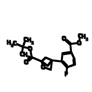 COC(=O)c1ccc(F)c(C23COC(C(=O)OC(C)(C)C)(C2)C3)c1